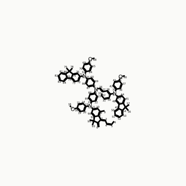 C=C1/C(=C\C=C/C)c2c(C)cc(N(c3ccc(OC)cc3)c3ccc(N(/C=C/C=C(\C=C/CC)N(c4ccc(OC)cc4)c4ccc5c(c4)-c4ccccc4C5(C)C)c4ccc(N(c5ccc(OC)cc5)c5ccc6c(c5)C(C)(C)c5ccccc5-6)cc4)cc3)cc2C1(C)C